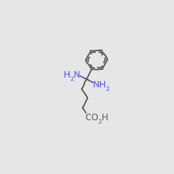 NC(N)(CCCC(=O)O)c1ccccc1